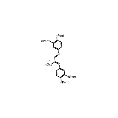 CCCCCCCCC(C=Nc1ccc(CCCCC)c(CCCCC)c1)=Nc1ccc(CCCCC)c(CCCCC)c1.[Pd]